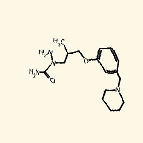 CC(COc1cccc(CN2CCCCC2)c1)CN(N)C(N)=O